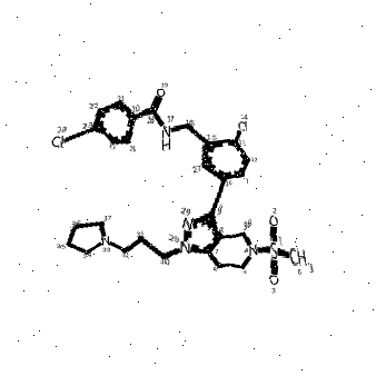 CS(=O)(=O)N1CCc2c(c(-c3ccc(Cl)c(CNC(=O)c4ccc(Cl)cc4)c3)nn2CCCN2CCCC2)C1